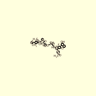 COc1cc(-c2scnc2C)ccc1[C@H](C)NC(=O)[C@@H]1CCCN1C(=O)Cc1cc(OCCN(C)C(=O)CCNc2nc(N3CCN(C(C)=O)CC3)c3cc(Cl)c(-c4cc(O)cc5ccccc45)c(F)c3n2)no1